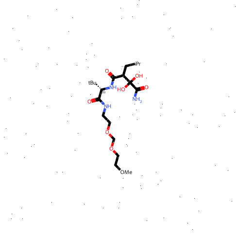 COCCOCOCCNC(=O)[C@@H](NC(=O)C(CC(C)C)C(O)(O)C(N)=O)C(C)(C)C